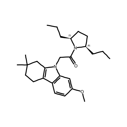 CCC[C@@H]1CC[C@H](CCC)N1C(=O)Cn1c2c(c3ccc(OC)cc31)CCC(C)(C)C2